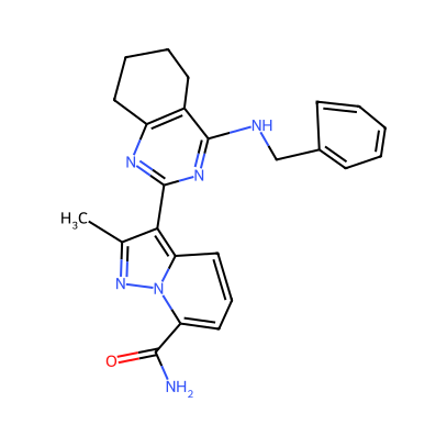 Cc1nn2c(C(N)=O)cccc2c1-c1nc2c(c(NCc3ccccc3)n1)CCCC2